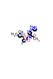 C=C/C=C\C(=N/C=C)C(=O)[C@@H]1C[C@@H](F)CN1C(=O)Cn1nc(C(C)=O)c2cc(Nc3cccnn3)ncc21